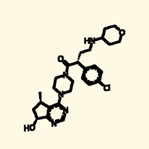 C[C@@H]1C[C@H](O)c2ncnc(N3CCN(C(=O)[C@H](CCNC4CCOCC4)c4ccc(Cl)cc4)CC3)c21